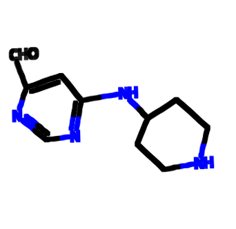 O=Cc1cc(NC2CCNCC2)ncn1